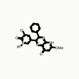 COc1cc(=O)c2nc(-c3cc(Cl)c(=O)n(C(C)C)c3)c(-c3ccccc3)nc2[nH]1